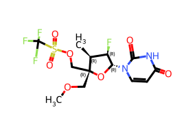 COC[C@]1(COS(=O)(=O)C(F)(F)F)O[C@@H](n2ccc(=O)[nH]c2=O)[C@H](F)[C@@H]1C